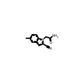 Cc1ccc2c(c1)cc(C#N)n2CC(N)=O